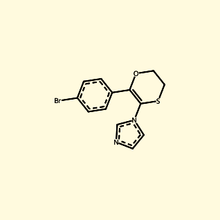 Brc1ccc(C2=C(n3ccnc3)SCCO2)cc1